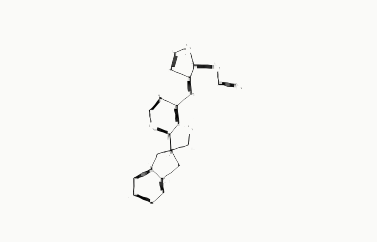 N=C/N=C1/NC=C/C1=C\c1ccnc(C2(CN)Cc3ccccc3C2)c1